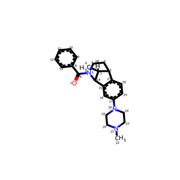 C[C@H]1C2CCN(C(=O)c3ccccc3)C1c1cc(N3CCN(C)CC3)ccc12